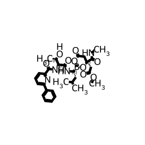 CNC(=O)[C@]1(CC(=O)OC)CC(=O)OB([C@H](CC(C)C)NC(=O)[C@@H](NC(=O)c2cccc(-c3ccccc3)n2)[C@@H](C)O)O1